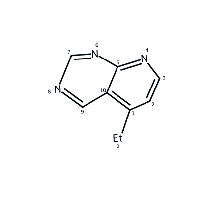 CCc1ccnc2ncncc12